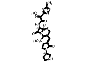 Nc1nc(C(=NO)C(=O)N[C@@H]2C(=O)N3C(C(=O)O)=C(C=C4CCN([C@@H]5CCNC5)C4=O)CS[C@H]23)ns1